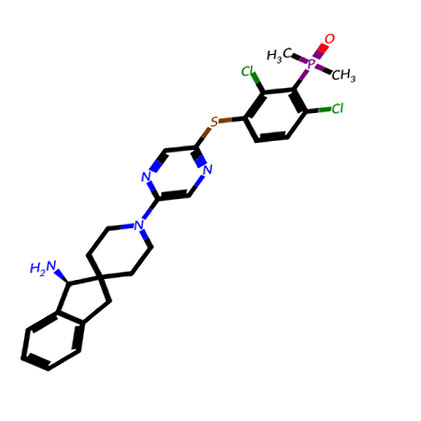 CP(C)(=O)c1c(Cl)ccc(Sc2cnc(N3CCC4(CC3)Cc3ccccc3[C@H]4N)cn2)c1Cl